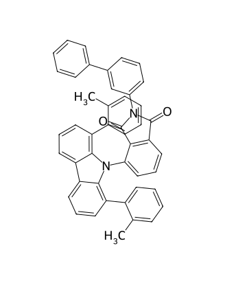 Cc1ccccc1-c1cccc2c3cccc(-c4ccccc4C)c3n(-c3cccc4c3C(=O)N(c3cccc(-c5ccccc5)c3)C4=O)c12